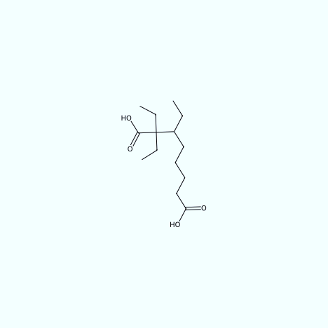 CCC(CCCCC(=O)O)C(CC)(CC)C(=O)O